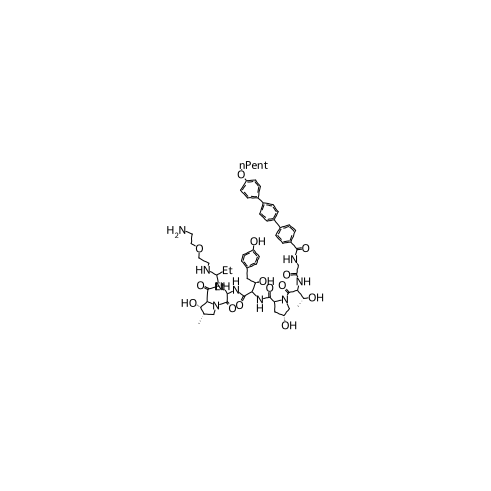 CCCCCOc1ccc(-c2ccc(-c3ccc(C(=O)NCC(=O)NC(C(=O)N4C[C@H](O)CC4C(=O)NC(C(=O)NC(CC)C(=O)N4C[C@H](C)[C@H](O)C4C(=O)NC(CC)NCCOCCN)[C@H](O)Cc4ccc(O)cc4)[C@@H](C)O)cc3)cc2)cc1